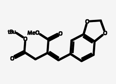 COC(=O)C(=Cc1ccc2c(c1)OCO2)CC(=O)OC(C)(C)C